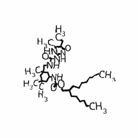 CCCCCCCCC(CCCCCC)COC(=O)NC1CC(C)(C)CC(C)(CNC(=O)Nc2nc(=O)c(CC)c(C)[nH]2)C1